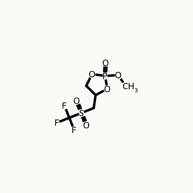 COP1(=O)OCC(CS(=O)(=O)C(F)(F)F)O1